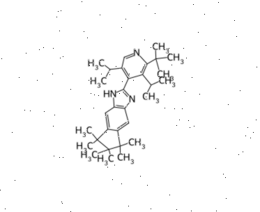 CC(C)c1cnc(C(C)(C)C)c(C(C)C)c1-c1nc2cc3c(cc2[nH]1)C(C)(C)C(C)(C)C3(C)C